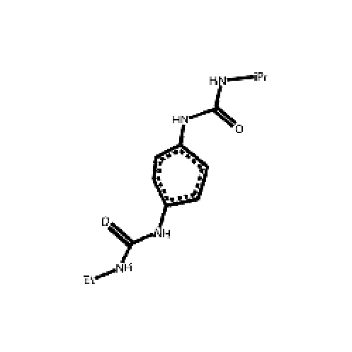 CCNC(=O)Nc1ccc(NC(=O)NC(C)C)cc1